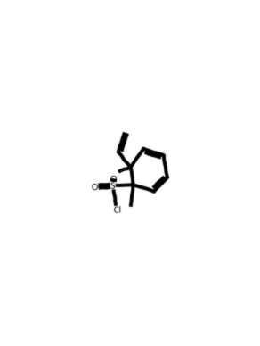 C=CC1(C)C=CC=CC1(C)S(=O)(=O)Cl